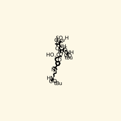 CC(C)(C)OC(=O)NCCCn1cc(-c2ccc3c(c2)CCC(C(C)(ON=C(C(=O)NC2C(=O)N(OS(=O)(=O)O)C2(C)C)c2csc(NC(=O)OC(C)(C)C)n2)C(=O)O)O3)cn1